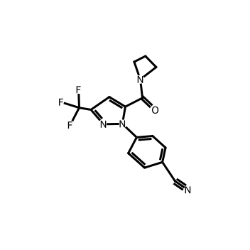 N#Cc1ccc(-n2nc(C(F)(F)F)cc2C(=O)N2CCC2)cc1